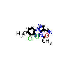 CC(=O)Nc1c(C#N)cnn1-c1ccc(C)c(Cl)c1Cl